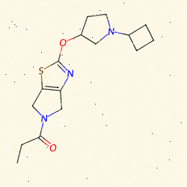 CCC(=O)N1Cc2nc(OC3CCN(C4CCC4)C3)sc2C1